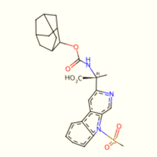 C[C@](NC(=O)OC1C2CC3CC(C2)CC1C3)(C(=O)O)c1cc2c3ccccc3n(S(C)(=O)=O)c2cn1